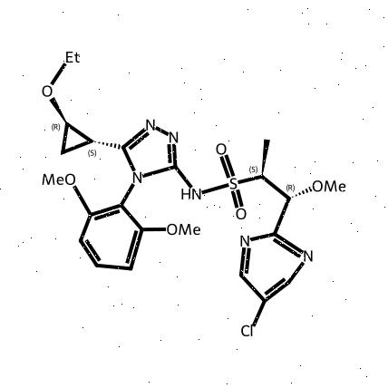 CCO[C@@H]1C[C@H]1c1nnc(NS(=O)(=O)[C@@H](C)[C@H](OC)c2ncc(Cl)cn2)n1-c1c(OC)cccc1OC